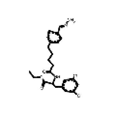 CCOC(=O)C(Cc1cc(Cl)cc(Cl)c1)NC(=O)CCCCc1ccc(C=NN)cc1